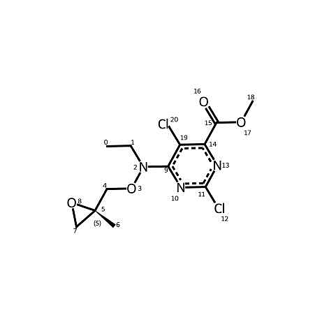 CCN(OC[C@]1(C)CO1)c1nc(Cl)nc(C(=O)OC)c1Cl